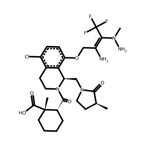 C[C@H]1CCN(C[C@@H]2c3c(OC/C(N)=C(/N(C)N)C(F)(F)F)ccc(Cl)c3CCN2C(=O)[C@@H]2CCCC[C@]2(C)C(=O)O)C1=O